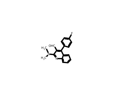 CN(C)c1nc2ccccc2c(-c2ccc(F)cc2)c1C=O